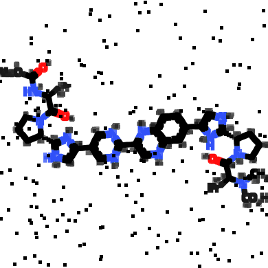 COC(=O)N[C@H](C(=O)N1CCC[C@H]1c1nc(-c2cnc(-c3cnc4cc(-c5cnc([C@@H]6CCCN6C(=O)[C@H](C(C)C)N(C)C(=O)O)[nH]5)ccc4n3)nc2)c[nH]1)C(C)C